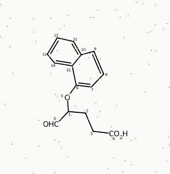 O=CC(CCC(=O)O)Oc1cccc2ccccc12